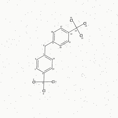 ClC(Cl)(Cl)c1ccc(Cc2ccc(C(Cl)(Cl)Cl)cc2)cc1